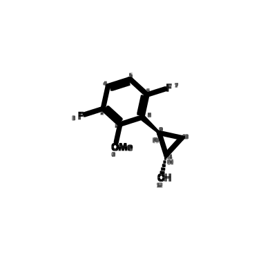 COc1c(F)ccc(F)c1[C@H]1C[C@@H]1O